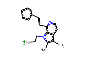 COCCn1c(C)c(C)c2ccnc(/C=C/c3ccccc3)c21.Cl